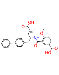 COc1ccc(C(=O)O)cc1C(=O)NC(Cc1ccc(-c2ccccc2)cc1)C[C@@H](C)C(=O)O